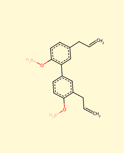 BOc1ccc(-c2cc(CC=C)ccc2OB)cc1CC=C